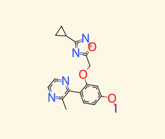 Cc1nccnc1-c1ccc(OI)cc1OCc1nc(C2CC2)no1